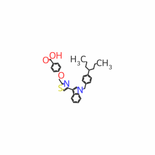 CCCC(CCC)c1ccc(Cn2cc(-c3csc(COc4ccc(C(=O)O)cc4)n3)c3ccccc32)cc1